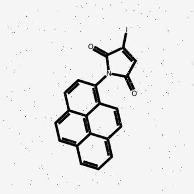 O=C1C=C(I)C(=O)N1c1ccc2ccc3cccc4ccc1c2c34